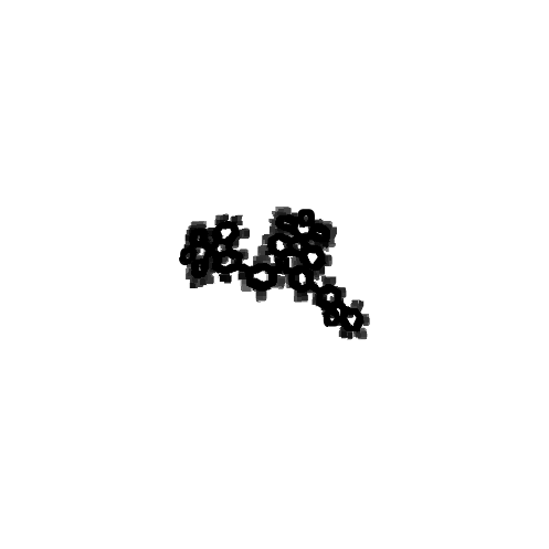 c1cc(-c2ccc3c(c2)-c2ccccc2C32c3ccccc3Oc3ccccc32)cc(N(c2ccc(-c3ccc4c(c3)oc3ccccc34)cc2)c2cccc3c2-c2ccccc2C32c3ccccc3Oc3ccccc32)c1